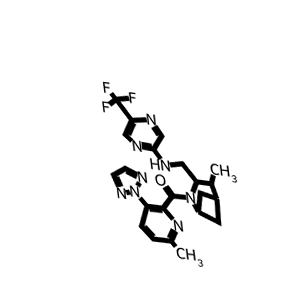 Cc1ccc(-n2nccn2)c(C(=O)N2C3CC(C3)C(C)C2CNc2cnc(C(F)(F)F)cn2)n1